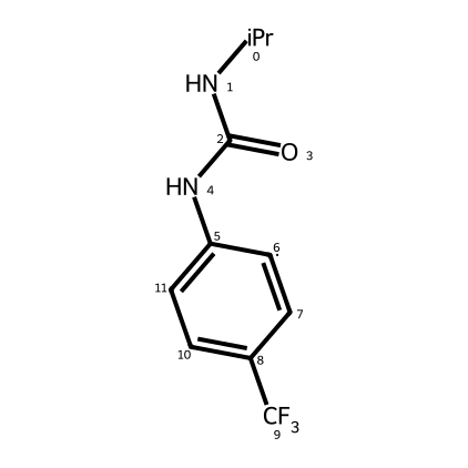 CC(C)NC(=O)Nc1[c]cc(C(F)(F)F)cc1